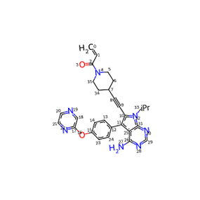 C=CC(=O)N1CCC(C#Cc2c(-c3ccc(Oc4cnccn4)cc3)c3c(N)ncnc3n2C(C)C)CC1